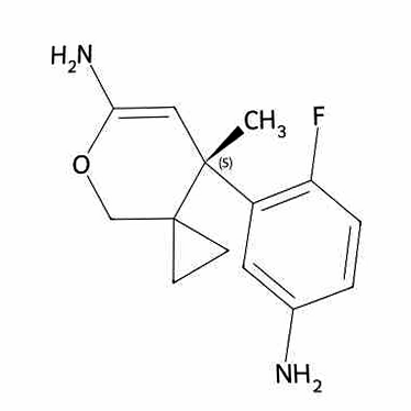 C[C@]1(c2cc(N)ccc2F)C=C(N)OCC12CC2